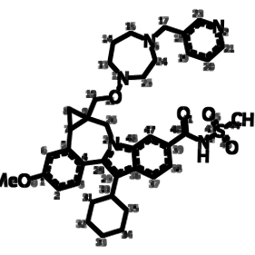 COc1ccc2c(c1)C1CC1(CON1CCCN(Cc3cccnc3)CC1)Cn1c-2c(C2CCCCC2)c2ccc(C(=O)NS(C)(=O)=O)cc21